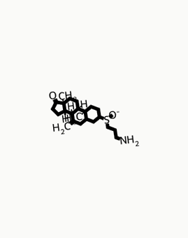 C=C1CC2CC([S+]([O-])CCCN)CC[C@]2(C)[C@@H]2CC[C@]3(C)C(=O)CC[C@H]3[C@H]12